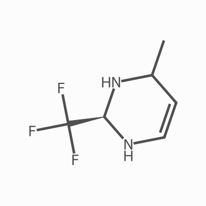 CC1C=CN[C@@H](C(F)(F)F)N1